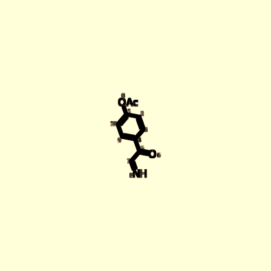 CC(=O)Oc1ccc(C(=O)C=N)cc1